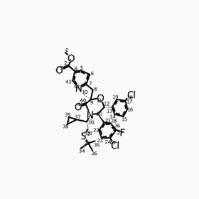 COC(=O)c1ccc(C[C@@]2(C)O[C@H](c3cccc(Cl)c3)[C@@H](c3ccc(Cl)c(F)c3)N([C@H](CSC(C)(C)C)C3CC3)C2=O)nc1